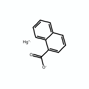 O=C([O-])c1cccc2ccccc12.[Hg+]